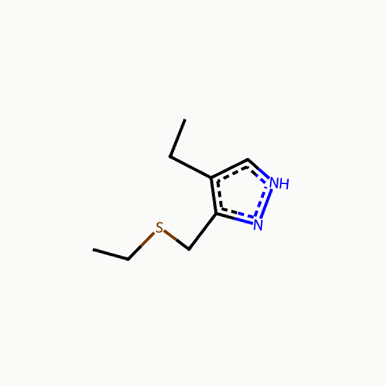 CCSCc1n[nH]cc1CC